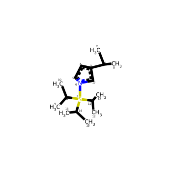 CC(C)c1ccn(S(C(C)C)(C(C)C)C(C)C)c1